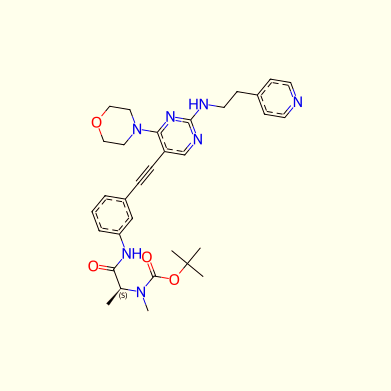 C[C@@H](C(=O)Nc1cccc(C#Cc2cnc(NCCc3ccncc3)nc2N2CCOCC2)c1)N(C)C(=O)OC(C)(C)C